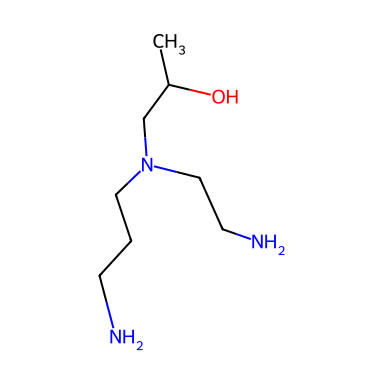 CC(O)CN(CCN)CCCN